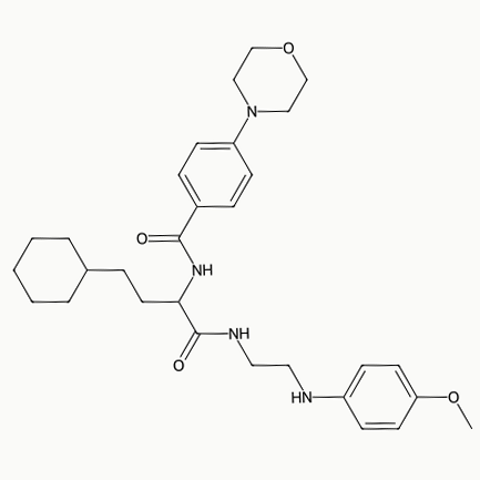 COc1ccc(NCCNC(=O)C(CCC2CCCCC2)NC(=O)c2ccc(N3CCOCC3)cc2)cc1